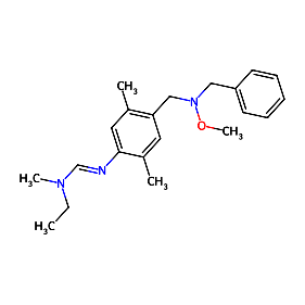 CCN(C)C=Nc1cc(C)c(CN(Cc2ccccc2)OC)cc1C